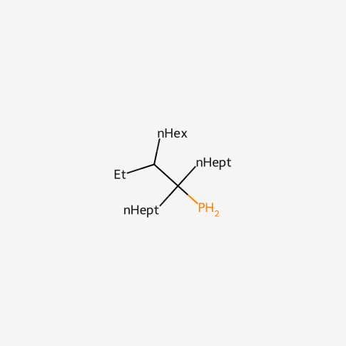 CCCCCCCC(P)(CCCCCCC)C(CC)CCCCCC